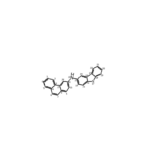 c1ccc2c(c1)ccc1ccc(Nc3ccc4sc5ccccc5c4c3)cc12